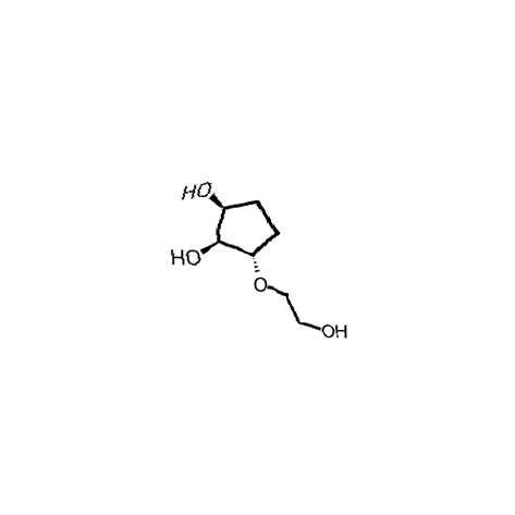 OCCO[C@H]1CC[C@H](O)[C@@H]1O